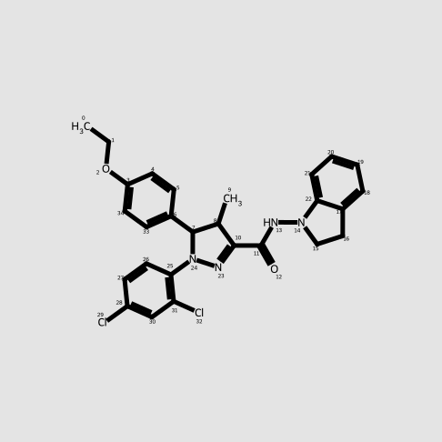 CCOc1ccc(C2C(C)C(C(=O)NN3CCc4ccccc43)=NN2c2ccc(Cl)cc2Cl)cc1